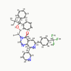 CC(CO[Si](c1ccccc1)(c1ccccc1)C(C)(C)C)n1cnc2c(-c3cccnc3)nc(-c3ccc(C(F)(F)F)cc3)cc2c1=O